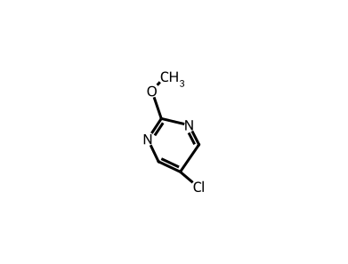 COc1ncc(Cl)cn1